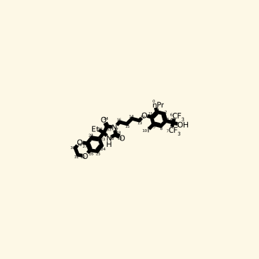 CCCc1cc(C(O)(C(F)(F)F)C(F)(F)F)cc(I)c1OCCCCN1C(=O)NC(CC)(c2ccc3c(c2)OCCO3)C1=O